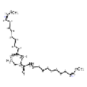 CCCCCCCC/C=C\CCCCCCCCNC(=O)C(CN)NC(=O)CCCCCCC/C=C\CCCCCCCC